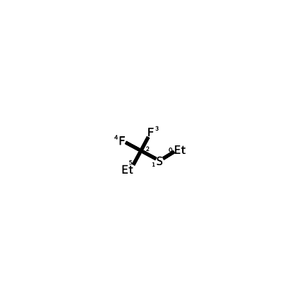 [CH2]CSC(F)(F)CC